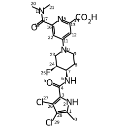 Cc1[nH]c(C(=O)N[C@@H]2CCN(c3cc(C(=O)O)nc(C(=O)N(C)C)c3)C[C@@H]2F)c(Cl)c1Cl